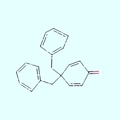 O=C1C=CC(Cc2ccccc2)(Cc2ccccc2)C=C1